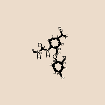 CNC(=O)Nc1ccc(C(F)F)cc1COc1ccc(C)cc1C